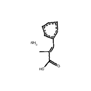 C/C(=C\c1ccccc1)C(=O)O.N